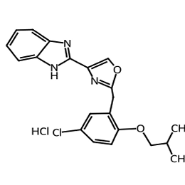 CC(C)COc1ccc(Cl)cc1Cc1nc(-c2nc3ccccc3[nH]2)co1.Cl